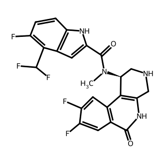 CN(C(=O)c1cc2c(C(F)F)c(F)ccc2[nH]1)[C@H]1CNCc2[nH]c(=O)c3cc(F)c(F)cc3c21